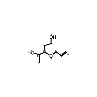 [CH2]C(O)C(CCO)OCC=C